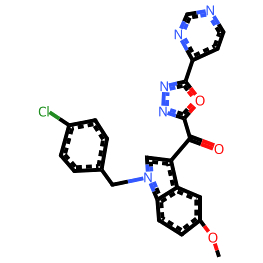 COc1ccc2c(c1)c(C(=O)c1nnc(-c3ccncn3)o1)cn2Cc1ccc(Cl)cc1